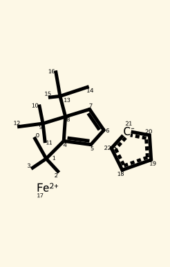 CC(C)(C)C1=CC=CC1(C(C)(C)C)C(C)(C)C.[Fe+2].c1cc[cH-]c1